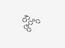 C1=Cc2ccccc2N(c2ccc(Oc3ccccc3)cc2)C1.c1ccc2ncccc2c1